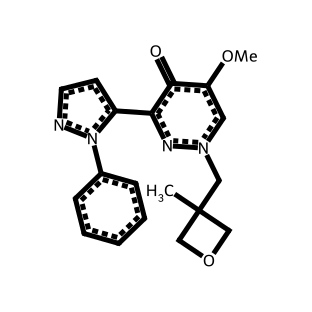 COc1cn(CC2(C)COC2)nc(-c2ccnn2-c2ccccc2)c1=O